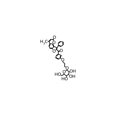 Cc1cc(=O)oc2c1ccc1oc(C(=O)c3cccc(OCCCOC4OC(CO)C(O)C(O)C4O)c3)c(-c3ccccc3)c12